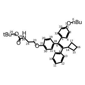 CCCCOc1ccc(/C(=C(/c2ccccc2)C2CCC2)c2ccc(OCCNC(=O)OC(C)(C)C)cc2)cc1